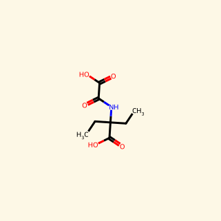 CCC(CC)(NC(=O)C(=O)O)C(=O)O